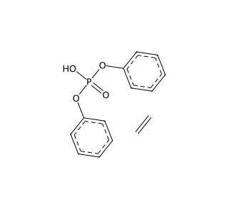 C=C.O=P(O)(Oc1ccccc1)Oc1ccccc1